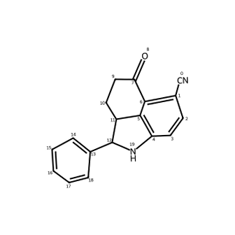 N#Cc1ccc2c3c1C(=O)CCC3C(c1ccccc1)N2